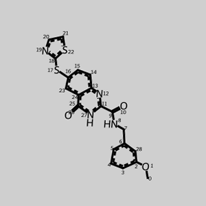 COc1cccc(CNC(=O)c2nc3ccc(Sc4nccs4)cc3c(=O)[nH]2)c1